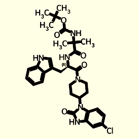 CC(C)(C)OC(=O)NC(C)(C)C(=O)N[C@H](Cc1c[nH]c2ccccc12)C(=O)N1CCC(n2c(=O)[nH]c3cc(Cl)ccc32)CC1